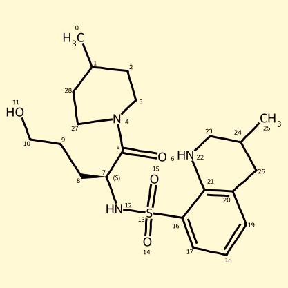 CC1CCN(C(=O)[C@H](CCCO)NS(=O)(=O)c2cccc3c2NCC(C)C3)CC1